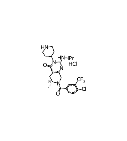 CC(C)Nc1nc2c(c(=O)n1C1CCNCC1)C[C@@H](C)N(C(=O)c1ccc(Cl)c(C(F)(F)F)c1)C2.Cl